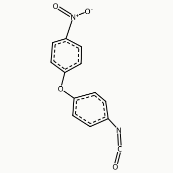 O=C=Nc1ccc(Oc2ccc([N+](=O)[O-])cc2)cc1